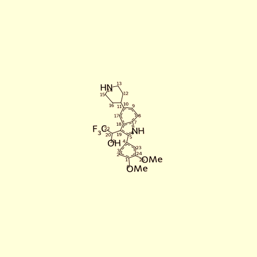 COc1ccc(-c2[nH]c3ccc(C4CCNCC4)cc3c2C(O)C(F)(F)F)cc1OC